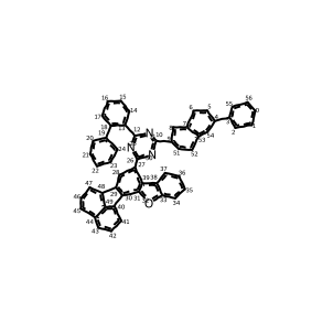 c1ccc(-c2ccc3cc(-c4nc(-c5ccccc5-c5ccccc5)nc(-c5cc6c(c7oc8ccccc8c57)-c5cccc7cccc-6c57)n4)ccc3c2)cc1